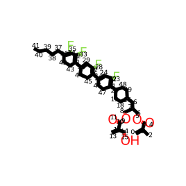 C=C(C)C(=O)OCC(COC(=O)C(=C)CO)CC1CCC(C2=C(F)C=C(C3=C(F)C=C(C4=C(F)C(F)=C(CCCCC)CC4)CC3)CC2)CC1